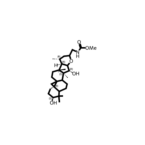 COC(=O)NCC1C[C@@H](C)[C@H]2C(O1)[C@H](O)[C@@]1(C)C3CCC4C(C)(C)[C@@H](O)CC[C@@]45CC35CC[C@]21C